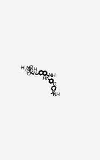 CC(=N)N1CCC(Oc2ccc(NC(=N)c3ccc4ccc(CNCC(=O)OS(N)(=O)=O)cc4c3)cc2)CC1